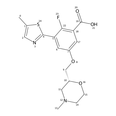 Cc1cnc(-c2cc(OC[C@H]3CN(C)CCO3)cc(C(=O)O)c2F)s1